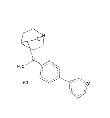 CN(c1ccc(-c2cccnc2)cc1)C1CN2CCC1CC2.Cl